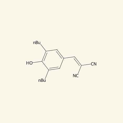 CCCCc1cc(C=C(C#N)C#N)cc(CCCC)c1O